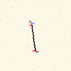 CCNC(=O)CCCCCCCCCCCCCCCC(=O)C(C)C